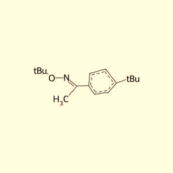 C/C(=N\OC(C)(C)C)c1ccc(C(C)(C)C)cc1